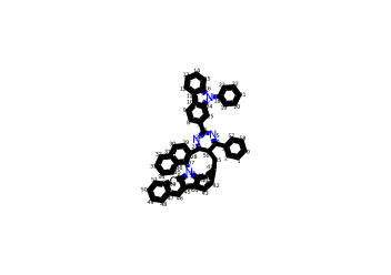 c1ccc(C2=NC(c3ccc4c5ccccc5n(-c5ccccc5)c4c3)=NC3c4ccc5ccccc5c4-n4c5cc(ccc5c5cc6ccccc6cc54)CC23)cc1